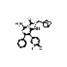 Cn1cc(-c2c(-c3ccccc3)nc(N)[n+]3c(=O)n(CC45COC(C4)C5)[nH]c23)ccc1=O